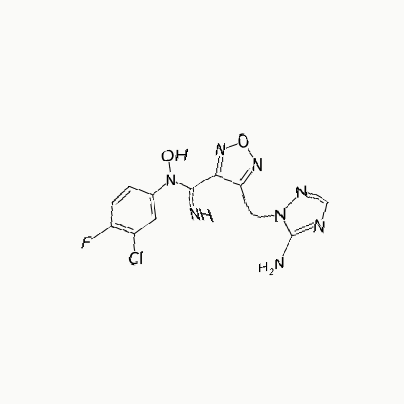 N=C(c1nonc1Cn1ncnc1N)N(O)c1ccc(F)c(Cl)c1